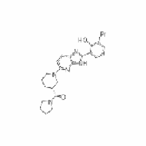 CC(C)c1cccc(-c2nc3ccc(N4CCC[C@@H](C(=O)N5CCCC5)C4)nc3[nH]2)c1O